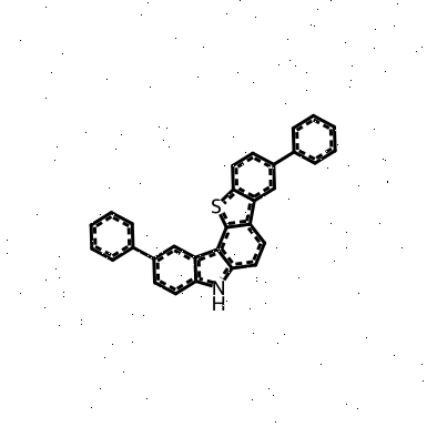 c1ccc(-c2ccc3sc4c(ccc5[nH]c6ccc(-c7ccccc7)cc6c54)c3c2)cc1